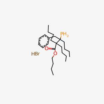 Br.CCCCOC(=O)C(CCCC)(CCCC)C(P)(CCCC)Cc1ccccc1